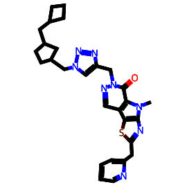 Cn1c2nc(Cc3ccccn3)sc2c2cnn(Cc3cn(CC4CCC(CC5CCC5)C4)nn3)c(=O)c21